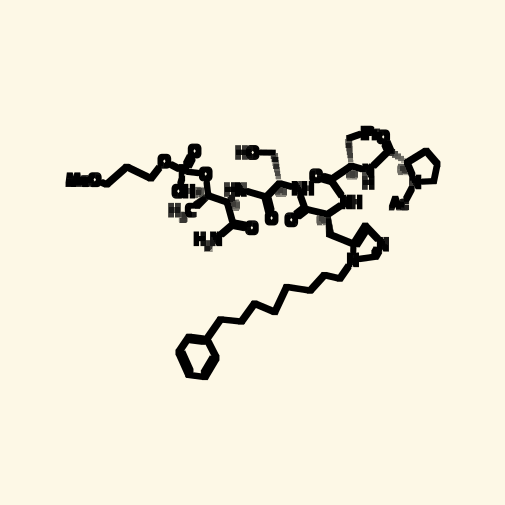 COCCCOP(=O)(O)O[C@H](C)[C@H](NC(=O)[C@H](CO)NC(=O)[C@H](Cc1cncn1CCCCCCCCc1ccccc1)NC(=O)[C@H](CC(C)C)NC(=O)[C@@H]1CCCN1C(C)=O)C(N)=O